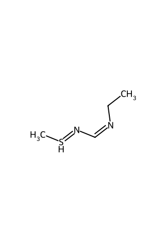 CC/N=C\N=[SH]\C